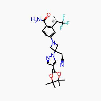 C[C@@H](c1cc(N2CC(CC#N)(n3cc(B4OC(C)(C)C(C)(C)O4)cn3)C2)ccc1C(N)=O)C(F)(F)F